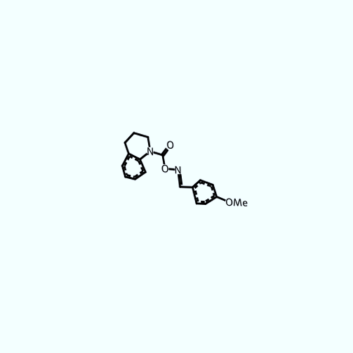 COc1ccc(C=NOC(=O)N2CCCc3ccccc32)cc1